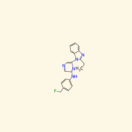 CCc1nc2ccccc2n1-c1cncc(Nc2ccc(CF)cc2)n1